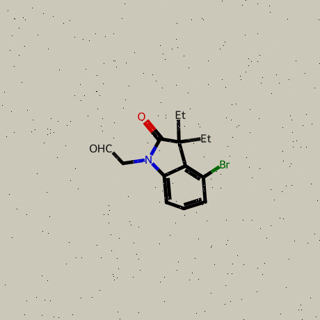 CCC1(CC)C(=O)N(CC=O)c2cccc(Br)c21